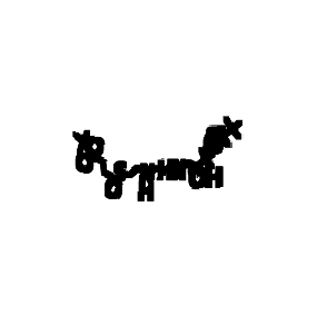 CC(C)(C)OC(=O)CCC(=O)SCCNCCCNC[C@H](O)C(C)(C)CO[Si](C)(C)C(C)(C)C